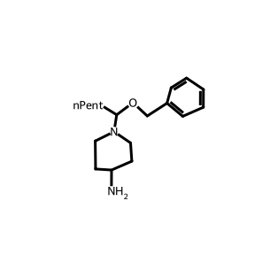 CCCCCC(OCc1ccccc1)N1CCC(N)CC1